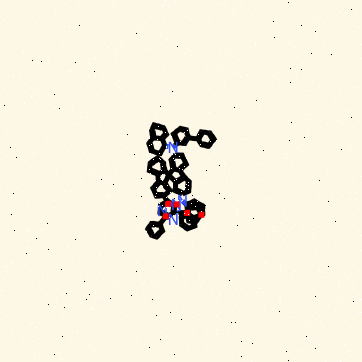 C1=Cc2ccccc2C(N(c2cccc(-c3ccccc3)c2)c2ccc3c(c2)C2(c4ccccc4-c4ccc(-c5nc(-c6ccccc6)nc(-c6ccccc6)n5)cc42)c2cc(N(c4ccccc4)c4cccc5ccccc45)ccc2-3)C1